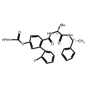 CCCCCC(=O)Oc1ccc(C(=O)N[C@H](C(=O)N[C@H](C)c2ccccc2)C(C)(C)C)c(-c2ccccc2F)c1